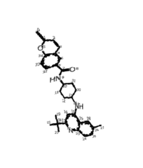 C=C1C=Cc2cc(C(=O)NC3CCC(Nc4cc(C(C)(C)C)nc5ccc(C)cc45)CC3)ccc2O1